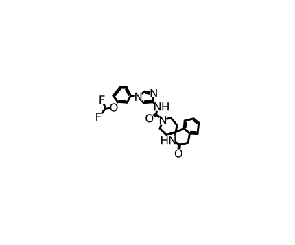 O=C1Cc2ccccc2C2(CCN(C(=O)Nc3cn(-c4cccc(OC(F)F)c4)cn3)CC2)N1